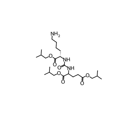 CC(C)COC(=O)CCC(NC(=O)N[C@@H](CCCCN)C(=O)OCC(C)C)C(=O)OCC(C)C